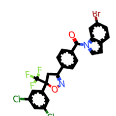 O=C(c1ccc(C2=NOC(c3cc(Cl)cc(Cl)c3)(C(F)(F)F)C2)cc1)n1ccc2ccc(Br)cc21